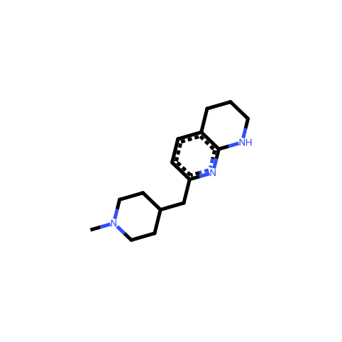 CN1CCC(Cc2ccc3c(n2)NCCC3)CC1